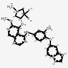 COc1ncc2ncnc(Nc3ccc(Oc4ccn5ncnc5c4)c(C)c3)c2c1O[C@@H]1CN(C)CC1(F)F